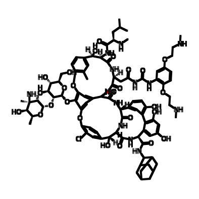 CNCCOc1ccc(OCCNC)c(NC(=O)NC(=O)C[C@@H]2NC(=O)[C@H](NC(=O)[C@@H](CC(C)C)NC)[C@H](O)c3ccc(c(C)c3)Oc3cc4cc(c3O[C@@H]3O[C@H](CO)[C@@H](O)[C@H](O)[C@H]3O[C@H]3C[C@](C)(N)[C@H](O)[C@H](C)O3)Oc3ccc(cc3Cl)[C@@H](O)[C@@H]3NC(=O)[C@H](NC(=O)[C@@H]4NC2=O)c2ccc(O)c(c2)-c2c(O)cc(O)cc2[C@@H](C(=O)NC2C4CC5CC(C4)CC2C5)NC3=O)c1